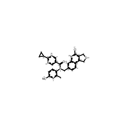 Cc1nc(C#N)ccc1N(Cc1ccc2c3c(c(Cl)nc2c1)COC3)C(=O)c1cnc(C2CC2)nc1